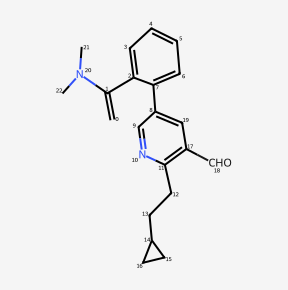 C=C(c1ccccc1-c1cnc(CCC2CC2)c(C=O)c1)N(C)C